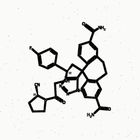 N#C[C@@H]1CCCN1C(=O)CN[C@H](CC1(c2nnn[nH]2)c2ccc(C(N)=O)cc2CCc2cc(C(N)=O)ccc21)c1ccc(F)cc1